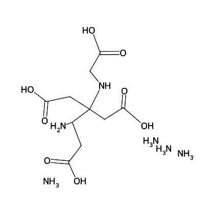 N.N.N.N.NC(CC(=O)O)C(CC(=O)O)(CC(=O)O)NCC(=O)O